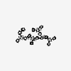 c1ccc(-c2cccc(-c3nc(-c4ccccc4)nc(-c4ccc5oc6c(-c7nc(-c8ccccc8)c8oc9cc(-c%10ccc%11c(oc%12ccc(-c%13nc(-c%14ccccc%14)nc(-c%14ccccc%14)n%13)cc%12%11)c%10-c%10ccc(-c%11nc(-c%12ccccc%12)nc%12c%11sc%11ccccc%11%12)cc%10)ccc9c8n7)cccc6c5c4)n3)c2)cc1